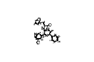 O=C1/C(=C/c2ccco2)N=C2C(c3cnnc(Cl)c3)=NC(c3ccccc3)=CN12